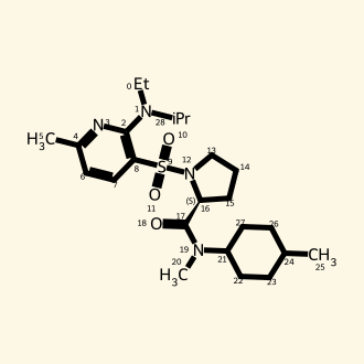 CCN(c1nc(C)ccc1S(=O)(=O)N1CCC[C@H]1C(=O)N(C)C1CCC(C)CC1)C(C)C